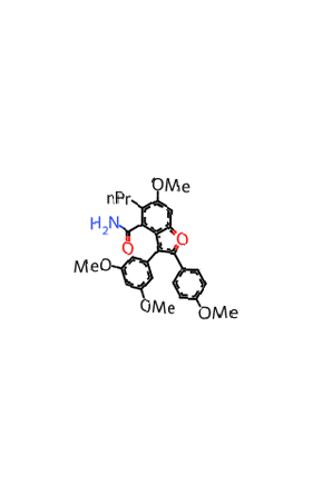 CCCc1c(OC)cc2oc(-c3ccc(OC)cc3)c(-c3cc(OC)cc(OC)c3)c2c1C(N)=O